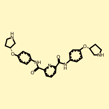 O=C(Nc1ccc(O[C@@H]2CCNC2)cc1)c1cccc(C(=O)Nc2ccc(O[C@@H]3CCNC3)cc2)n1